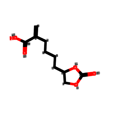 C=C(CCCCC1COC(=O)O1)C(=O)O